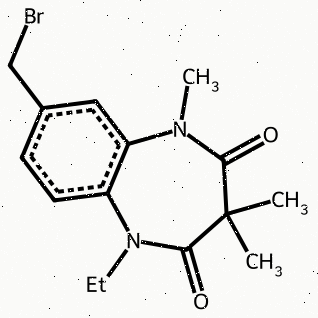 CCN1C(=O)C(C)(C)C(=O)N(C)c2cc(CBr)ccc21